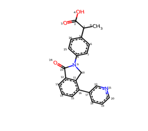 CC(C(=O)O)c1ccc(N2Cc3c(cccc3-c3cccnc3)C2=O)cc1